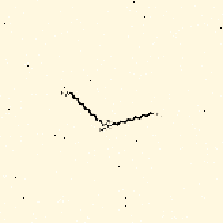 CCCCCCCCCCCC[O][Ti]([OH])([OH])[O]CCCCCCCCCCCC